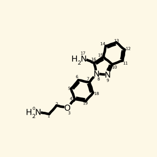 NCCOc1ccc(-n2nc3ccccc3c2N)cc1